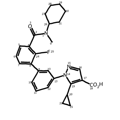 CN(C(=O)c1cccc(-c2cccc(-n3ncc(C(=O)O)c3C3CC3)c2)c1F)C1CCCCC1